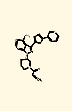 C=CC(=O)N1CCC[C@@H](n2nc(-c3ccc(-c4cccnc4)s3)c3c(N)ncnc32)C1